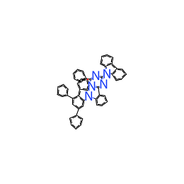 c1ccc(-c2cc(-c3ccccc3)c3c4ccccc4n(-c4ccccc4-c4nc(-c5ccccc5)nc(-n5c6ccccc6c6ccccc65)n4)c3c2)cc1